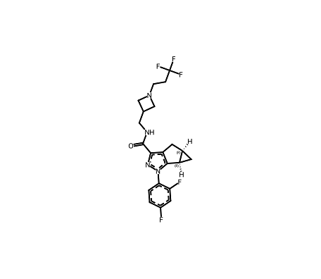 O=C(NCC1CN(CCC(F)(F)F)C1)c1nn(-c2ccc(F)cc2F)c2c1C[C@H]1C[C@@H]21